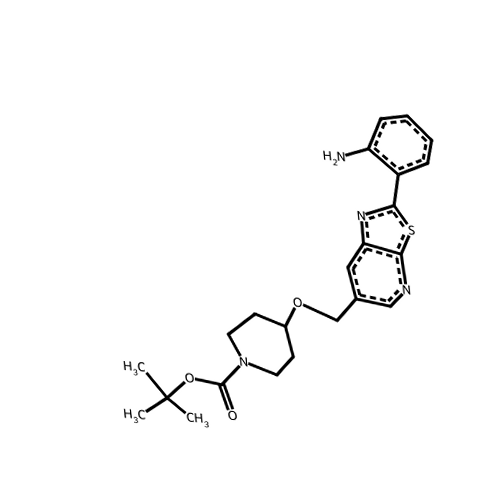 CC(C)(C)OC(=O)N1CCC(OCc2cnc3sc(-c4ccccc4N)nc3c2)CC1